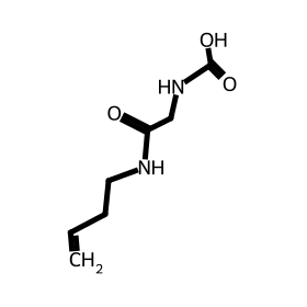 C=CCCNC(=O)CNC(=O)O